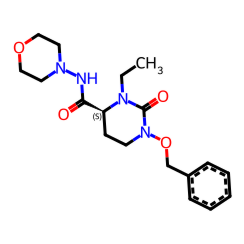 CCN1C(=O)N(OCc2ccccc2)CC[C@H]1C(=O)NN1CCOCC1